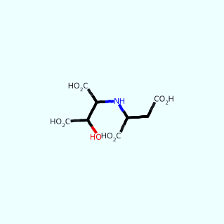 O=C(O)CC(NC(C(=O)O)C(O)C(=O)O)C(=O)O